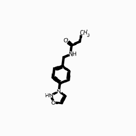 CCC(=O)NCc1ccc(N2C=CON2)cc1